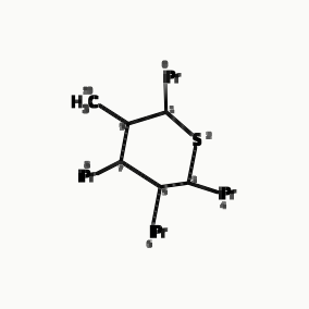 CC(C)C1SC(C(C)C)C(C(C)C)C(C(C)C)C1C